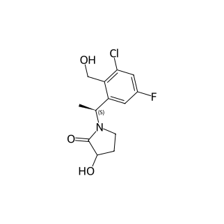 C[C@@H](c1cc(F)cc(Cl)c1CO)N1CCC(O)C1=O